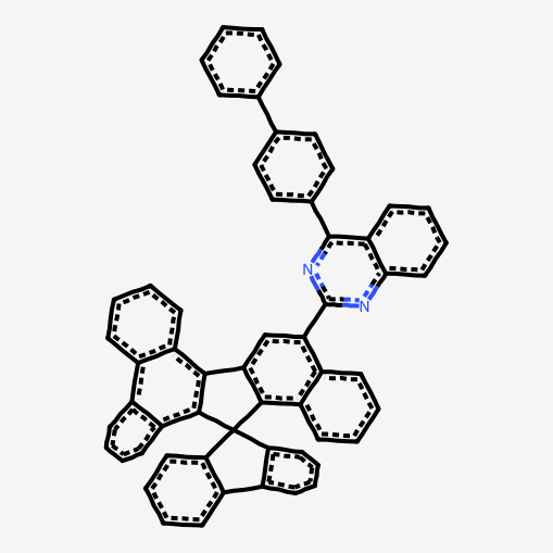 c1ccc(-c2ccc(-c3nc(-c4cc5c(c6ccccc46)C4(c6ccccc6-c6ccccc64)c4c-5c5ccccc5c5ccccc45)nc4ccccc34)cc2)cc1